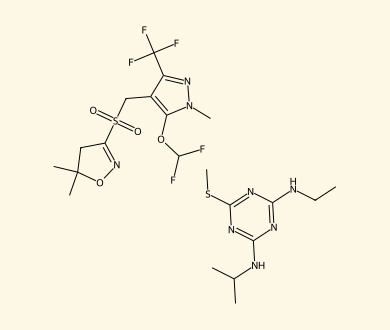 CCNc1nc(NC(C)C)nc(SC)n1.Cn1nc(C(F)(F)F)c(CS(=O)(=O)C2=NOC(C)(C)C2)c1OC(F)F